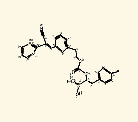 Cc1ccc(C[C@H](NC(=O)OCCc2cccc(C=C(C#N)c3ncccn3)c2)B(O)O)cc1